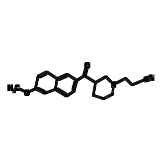 COc1ccc2cc(C(=O)C3CCCN(CCC#N)C3)ccc2c1